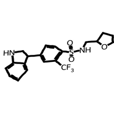 O=S(=O)(NCC1CCCO1)c1ccc(C2CNc3ccccc32)cc1C(F)(F)F